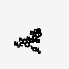 C=CC[C@@H]1CCc2c(C)c(F)cc3nc4c(c1c23)Cn1c-4cc2c(c1=O)COC(=O)[C@]2(O)CC